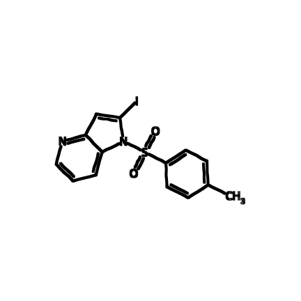 Cc1ccc(S(=O)(=O)n2c(I)cc3ncccc32)cc1